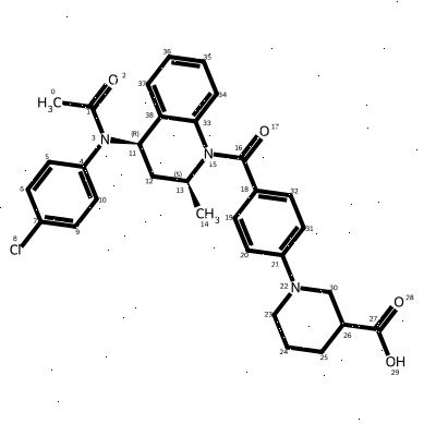 CC(=O)N(c1ccc(Cl)cc1)[C@@H]1C[C@H](C)N(C(=O)c2ccc(N3CCCC(C(=O)O)C3)cc2)c2ccccc21